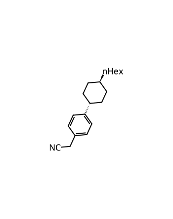 CCCCCC[C@H]1CC[C@H](c2ccc(CC#N)cc2)CC1